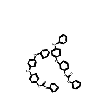 O=C(Oc1ccccc1)Oc1ccc(Nc2ccc(Nc3ccccc3)cc2)cc1.O=C(Oc1ccccc1)Oc1cccc(Nc2ccc(Nc3ccccc3)cc2)c1